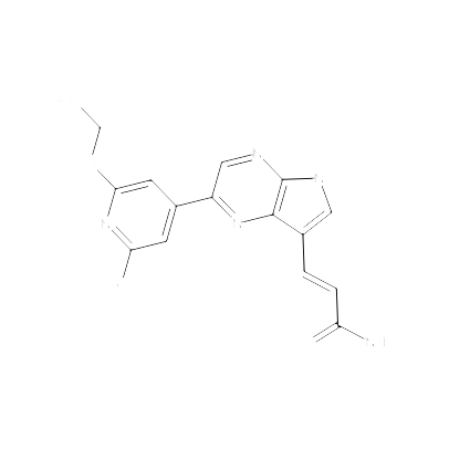 NC(=O)/C=C/c1c[nH]c2ncc(-c3cc(OCC(F)(F)F)nc(C(F)(F)F)c3)nc12